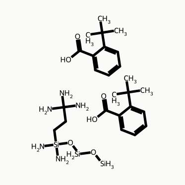 CC(C)(C)c1ccccc1C(=O)O.CC(C)(C)c1ccccc1C(=O)O.NC(N)(N)CC[Si](N)(N)O[SiH2]O[SiH3]